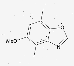 COc1cc(C)c2ocnc2c1C